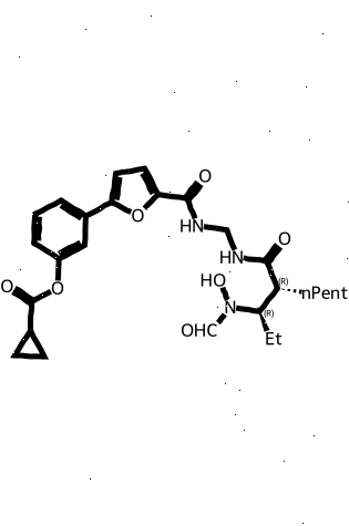 CCCCC[C@@H](C(=O)NCNC(=O)c1ccc(-c2cccc(OC(=O)C3CC3)c2)o1)[C@@H](CC)N(O)C=O